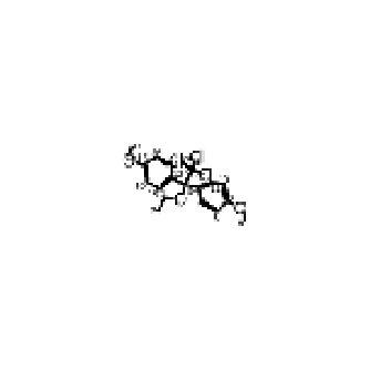 CCOC(c1ccc(OC)cc1)(c1ccc(OC)cc1)C(Cl)(Cl)Cl